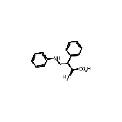 C=C(C(=O)O)C(CNc1ccccc1)c1ccccc1